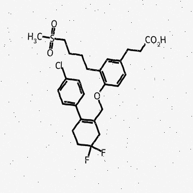 CS(=O)(=O)CCCCc1cc(CCC(=O)O)ccc1OCC1=C(c2ccc(Cl)cc2)CCC(F)(F)C1